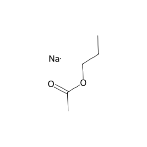 CCCOC(C)=O.[Na]